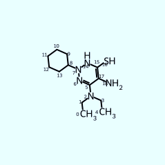 CCN(CC)C1=NN(C2CCCCC2)NC(S)=C1N